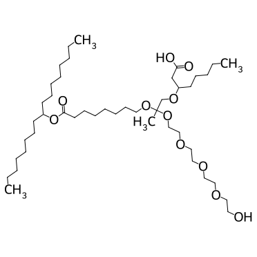 CCCCCCCCC(CCCCCCCC)OC(=O)CCCCCCCOC(C)(COC(CCCCC)CC(=O)O)OCCOCCOCCOCCO